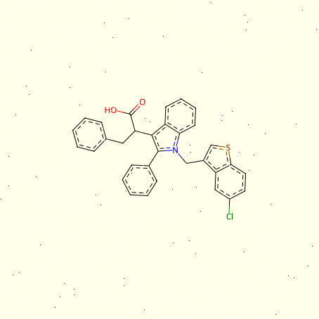 O=C(O)C(Cc1ccccc1)c1c(-c2ccccc2)n(Cc2csc3ccc(Cl)cc23)c2ccccc12